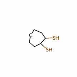 SC1CCCCCC1S